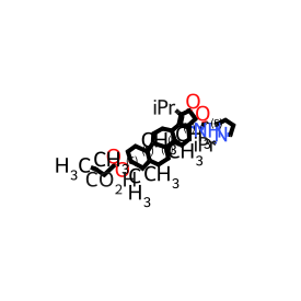 CC(C)C1=C2C3CCC4[C@@]5(C)CC[C@H](OC(=O)CC(C)(C)C(=O)O)C(C)(C)C5CC[C@@]4(C)[C@]3(C)CC[C@@]2(NC(=O)[C@@H]2CCCN2C(C)C)CC1=O